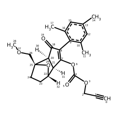 C#CCOC(=O)OC1=C(c2c(C)cc(C)cc2C)C(=O)[C@H]2[C@@H]1[C@@H]1CC[C@@]2(COC)O1